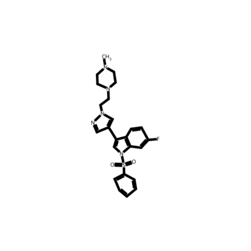 CN1CCN(CCn2cc(-c3cn(S(=O)(=O)c4ccccc4)c4cc(F)ccc34)cn2)CC1